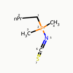 CCCC[P](C)(C)N=C=S